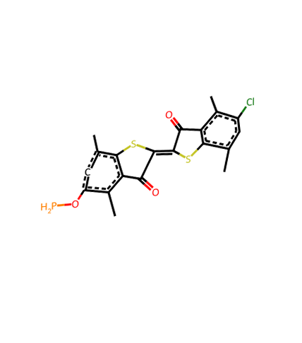 Cc1cc(Cl)c(C)c2c1S/C(=C1/Sc3c(C)cc(OP)c(C)c3C1=O)C2=O